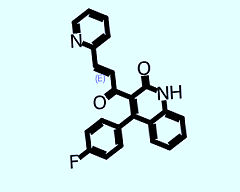 O=C(/C=C/c1ccccn1)c1c(-c2ccc(F)cc2)c2ccccc2[nH]c1=O